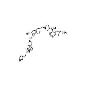 Cc1c(CN2CCC(Nc3ncnc4sc(CC(F)(F)F)cc34)CC2)ccc2c1cc(C#N)n2CC(C)N1CCN(S(=O)(=O)NCCc2ccoc2)CC1